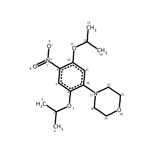 CC(C)Oc1cc([N+](=O)[O-])c(OC(C)C)cc1N1CCOCC1